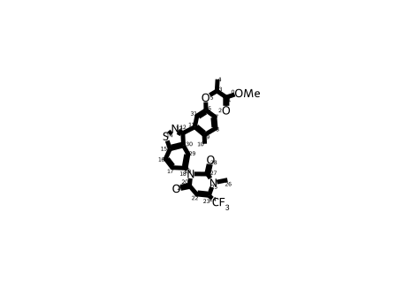 COC(=O)C(C)Oc1ccc(C)c(-c2nsc3ccc(-n4c(=O)cc(C(F)(F)F)n(C)c4=O)cc23)c1